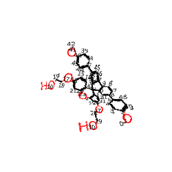 COc1ccc(-c2ccc3c(c2)C2(c4ccc(OCCO)cc4Oc4cc(OCCO)ccc42)c2cc(-c4ccc(OC)cc4)ccc2-3)cc1